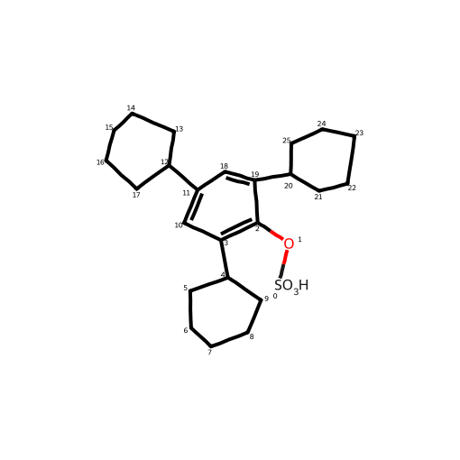 O=S(=O)(O)Oc1c(C2CCCCC2)cc(C2CCCCC2)cc1C1CCCCC1